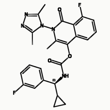 Cc1nnc(C)n1-n1c(C)c(OC(=O)N[C@H](c2cccc(F)c2)C2CC2)c2cccc(F)c2c1=O